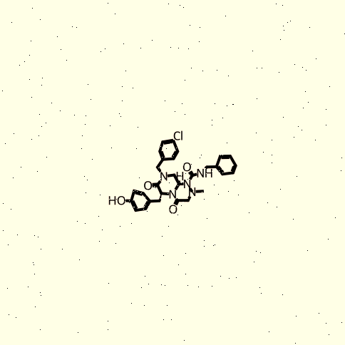 CN1CC(=O)N2[C@@H](Cc3ccc(O)cc3)C(=O)N(Cc3ccc(Cl)cc3)C[C@@H]2N1C(=O)NCc1ccccc1